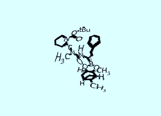 CC1[C@@H]2C[C@H]3OB([C@H](Cc4ccccc4)NC(=O)N(C)C[C@H]4CCCCN4C(=O)OC(C)(C)C)O[C@@]3(C)[C@H]1C2